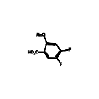 COc1cc(F)c(F)cc1C(=O)O